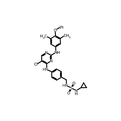 Cc1cc(Nc2ncc(Cl)c(Nc3ccc(CNS(=O)(=O)NC4CC4)cc3)n2)cc(C)c1OC(C)C